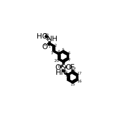 O=C(/C=C/c1cccc(S(=O)(=O)Nc2ccccc2F)c1)NO